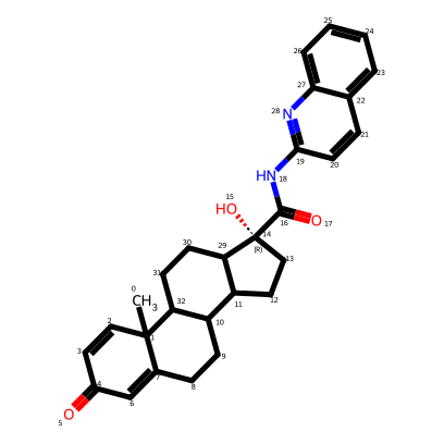 CC12C=CC(=O)C=C1CCC1C3CC[C@](O)(C(=O)Nc4ccc5ccccc5n4)C3CCC12